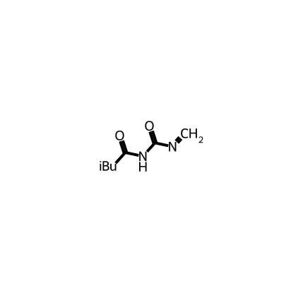 C=NC(=O)NC(=O)C(C)CC